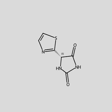 O=C1NC(=O)[C@@H](c2nccs2)N1